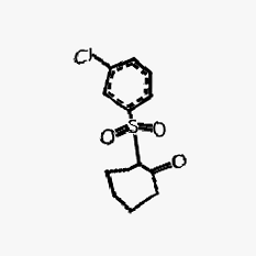 O=C1CCCCC1S(=O)(=O)c1cccc(Cl)c1